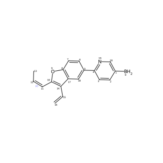 Bc1ccc(-c2ccc3oc(/C=C\C)c(C=C)c3c2)nc1